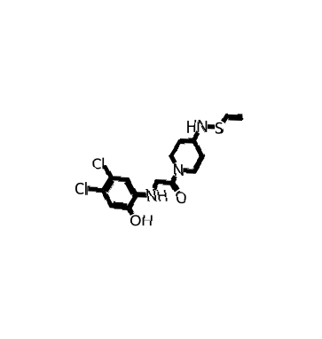 C=CSNC1CCN(C(=O)CNc2cc(Cl)c(Cl)cc2O)CC1